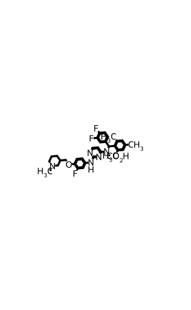 Cc1cc(C)c(C(c2ccc(F)c(F)c2)N(C(=O)O)c2ccnc(Nc3ccc(OCC4CCCN(C)C4)c(F)c3)n2)c(C)c1